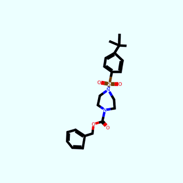 CC(C)(C)c1ccc(S(=O)(=O)N2CCN(C(=O)OCc3ccccc3)CC2)cc1